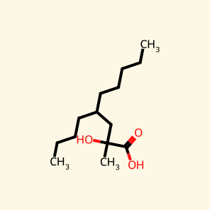 CCCCCC(CCCC)CC(C)(O)C(=O)O